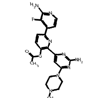 CC(=O)Oc1ccc(-c2ccnc(N)c2F)nc1-c1cc(N2CCN(C)CC2)nc(N)n1